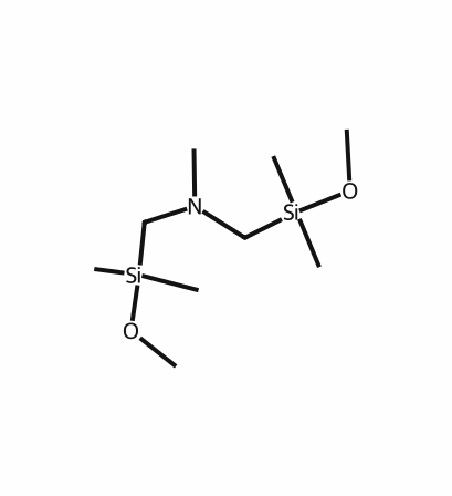 CO[Si](C)(C)CN(C)C[Si](C)(C)OC